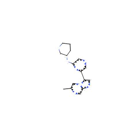 Cc1cn2c(-c3cncc(N[C@@H]4CCCNC4)n3)cnc2cn1